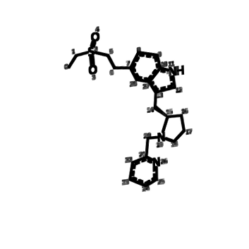 CCS(=O)(=O)CCc1ccc2[nH]cc(C[C@H]3CCCN3Cc3ccccn3)c2c1